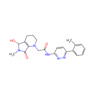 Cc1ccccc1-c1ccc(NC(=O)CN2CCCC3=C2C(=O)N(C)C3O)nn1